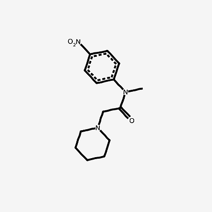 CN(C(=O)CN1CCCCC1)c1ccc([N+](=O)[O-])cc1